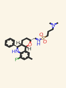 Cc1cc(F)c2c(c1)[C@H]1O[C@@H](CNS(=O)(=O)CCCN(C)C)CC[C@H]1[C@H](c1ccccc1)N2